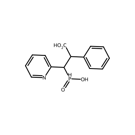 O=C(O)C(c1ccccc1)C(c1ccccn1)[PH](=O)O